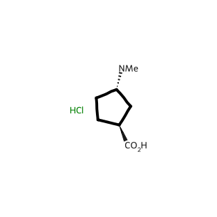 CN[C@H]1CC[C@H](C(=O)O)C1.Cl